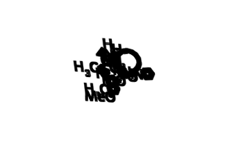 COc1ccc2c(O[C@@H]3C[C@H]4C(=O)N[C@]5(C(=O)NC6(C)CC6)C[C@H]5/C=C\CCCCC[C@H](Nc5ccccc5)C(=O)N4C3)cc(-c3nc(C)cs3)nc2c1C